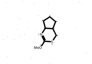 COC1=NC2CCCC2CS1